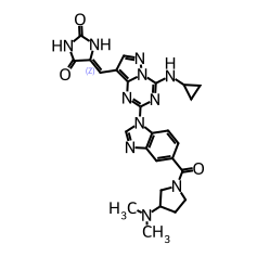 CN(C)C1CCN(C(=O)c2ccc3c(c2)ncn3-c2nc(NC3CC3)n3ncc(/C=C4\NC(=O)NC4=O)c3n2)C1